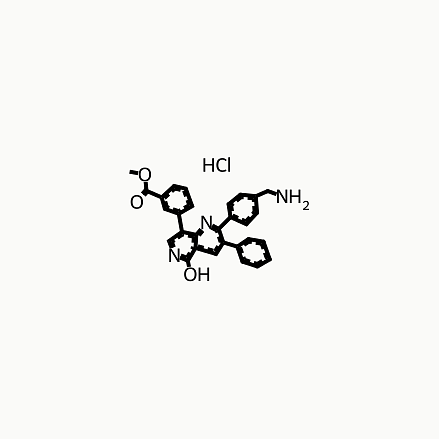 COC(=O)c1cccc(-c2cnc(O)c3cc(-c4ccccc4)c(-c4ccc(CN)cc4)nc23)c1.Cl